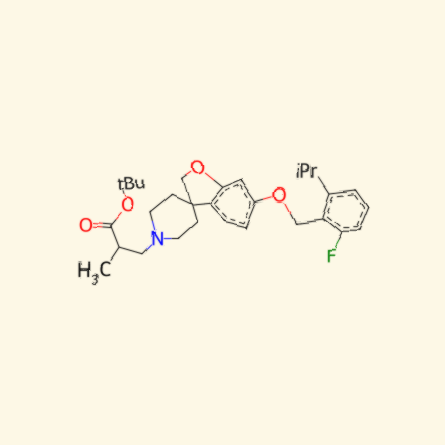 CC(CN1CCC2(CC1)COc1cc(OCc3c(F)cccc3C(C)C)ccc12)C(=O)OC(C)(C)C